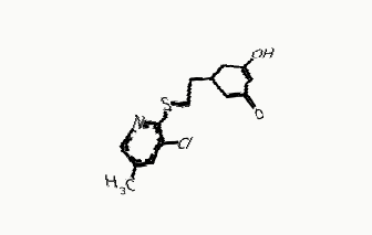 Cc1cnc(SCCC2CC(=O)C=C(O)C2)c(Cl)c1